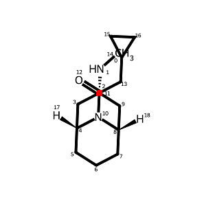 CN[C@H]1C[C@H]2CCC[C@@H](C1)N2C(=O)CC1CC1